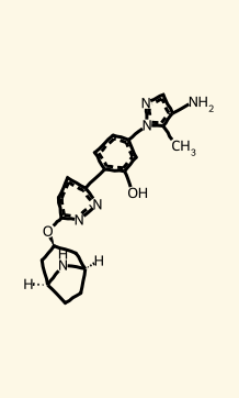 Cc1c(N)cnn1-c1ccc(-c2ccc(O[C@H]3C[C@H]4CC[C@@H](C3)N4)nn2)c(O)c1